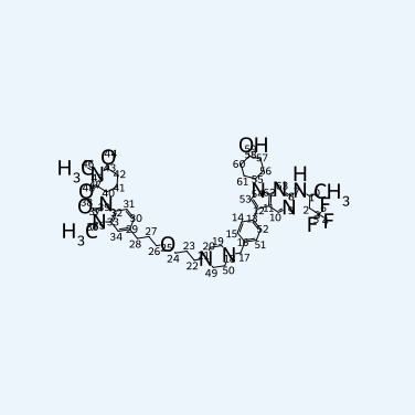 C[C@@H](CC(F)(F)F)Nc1ncc2c(-c3ccc(CN4CCN(CCCOCCCc5ccc6c(c5)n(C)c(=O)n6C5CCC(=O)N(C)C5=O)CC4)cc3)cn([C@H]3CC[C@H](O)CC3)c2n1